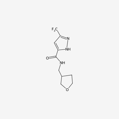 O=C(NCC1CCOC1)c1cc(C(F)(F)F)n[nH]1